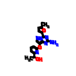 Cc1ccc(-c2nc(N)nc3c(Oc4cccc(C(C)O)n4)cnn23)o1